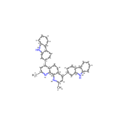 Cc1cc(-c2ccc3c(c2)[nH]c2ccccc23)c2ccc3c(-c4ccc5c(c4)[nH]c4ccccc45)cc(C)nc3c2n1